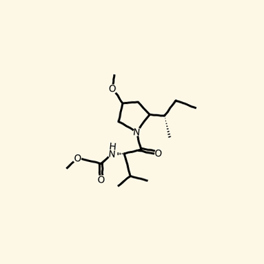 CC[C@H](C)C1CC(OC)CN1C(=O)[C@@H](NC(=O)OC)C(C)C